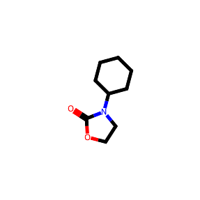 O=C1OCCN1C1CCCCC1